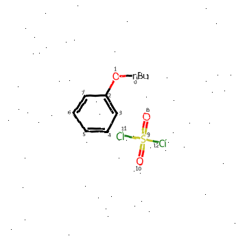 CCCCOc1ccccc1.O=S(=O)(Cl)Cl